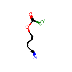 N#CCCOC(=O)Cl